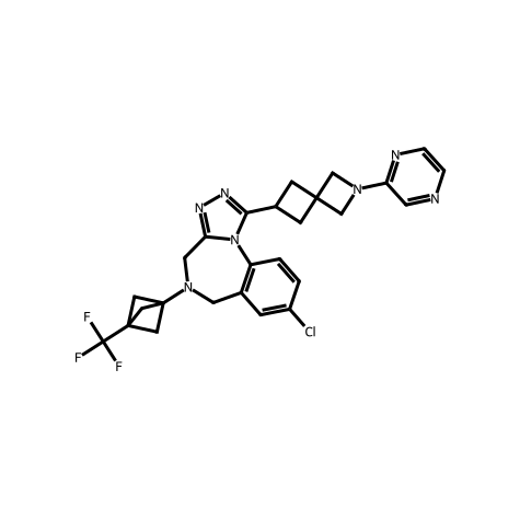 FC(F)(F)C12CC(N3Cc4cc(Cl)ccc4-n4c(nnc4C4CC5(C4)CN(c4cnccn4)C5)C3)(C1)C2